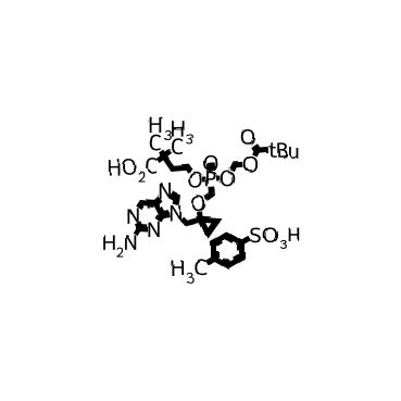 CC(C)(C)C(=O)OCOP(=O)(COC1(Cn2cnc3cnc(N)nc32)CC1)OCCC(C)(C)C(=O)O.Cc1ccc(S(=O)(=O)O)cc1